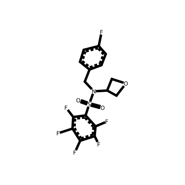 O=S(=O)(c1c(F)c(F)c(F)c(F)c1F)N(Cc1ccc(F)cc1)C1COC1